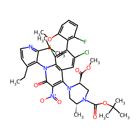 CCc1ccnc(C(C)C)c1-n1c(=O)c([N+](=O)[O-])c(N2C[C@@H](C)N(C(=O)OC(C)(C)C)C[C@@H]2C(=O)OC)c2cc(Cl)c(-c3c(F)cccc3OC)c(F)c21